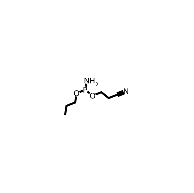 CCCOP(N)OCCC#N